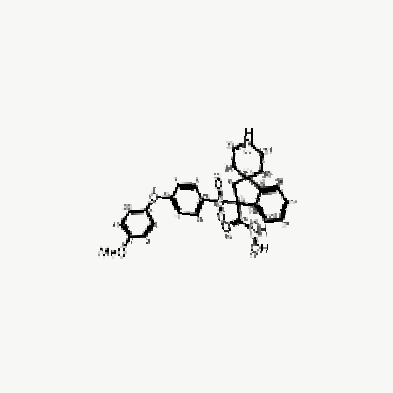 COc1ccc(Oc2ccc(S(=O)(=O)C3(C(=O)NO)CC4(CCNCC4)c4ccccc43)cc2)cc1